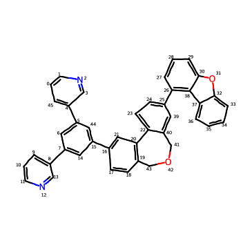 c1cncc(-c2cc(-c3cccnc3)cc(-c3ccc4c(c3)-c3ccc(-c5cccc6oc7ccccc7c56)cc3COC4)c2)c1